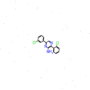 Nc1nc(-c2cccc(Cl)c2)cnc1-c1ccccc1Cl